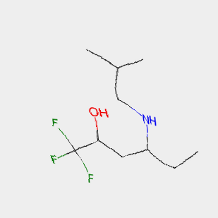 CCC(CC(O)C(F)(F)F)NCC(C)C